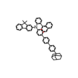 CC1(C)c2ccccc2-c2ccc(N(c3ccc(-c4ccc(-c5ccc(C67CC8CC(CC(C8)C6)C7)cc5)cc4)cc3)c3ccccc3-c3cccc4ccccc34)cc21